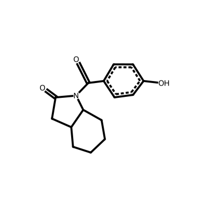 O=C1CC2CCCCC2N1C(=O)c1ccc(O)cc1